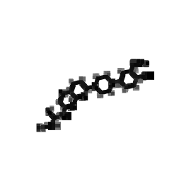 CCNC(=S)Nc1cnc2ccc(N3CCN(c4ccc(O)c(OC)c4)CC3)nc2n1